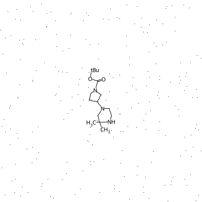 CC1(C)CN(C2CCN(C(=O)OC(C)(C)C)C2)CCN1